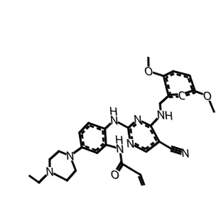 C=CC(=O)Nc1cc(N2CCN(CC)CC2)ccc1Nc1ncc(C#N)c(NCc2cc(OC)ccc2OC)n1